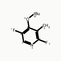 Cc1c(F)ncc(F)c1OC(C)(C)C